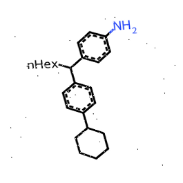 CCCCCCC(c1ccc(N)cc1)c1ccc(C2CCCCC2)cc1